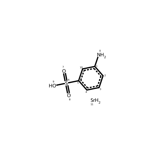 Nc1cccc(S(=O)(=O)O)c1.[SrH2]